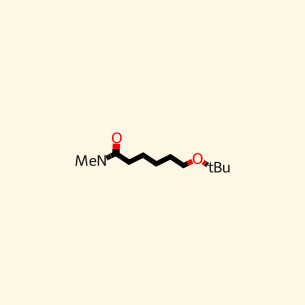 CNC(=O)CCCCCOC(C)(C)C